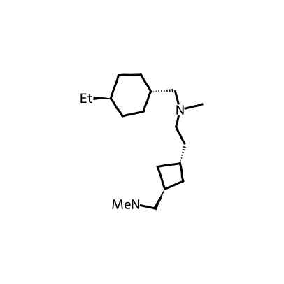 CC[C@H]1CC[C@H](CN(C)CC[C@H]2C[C@H](CNC)C2)CC1